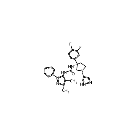 Cc1nn(-c2ccccc2)c(NC(=O)N[C@]2(c3ccc(F)c(F)c3)CCN(c3cn[nH]c3)C2)c1C